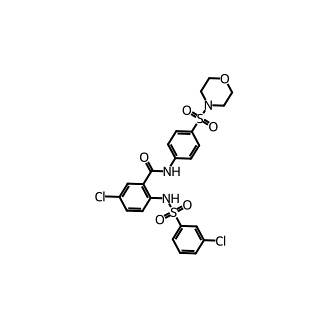 O=C(Nc1ccc(S(=O)(=O)N2CCOCC2)cc1)c1cc(Cl)ccc1NS(=O)(=O)c1cccc(Cl)c1